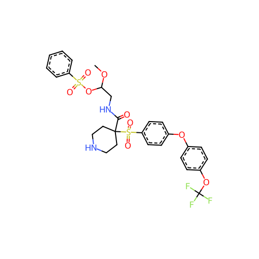 COC(CNC(=O)C1(S(=O)(=O)c2ccc(Oc3ccc(OC(F)(F)F)cc3)cc2)CCNCC1)OS(=O)(=O)c1ccccc1